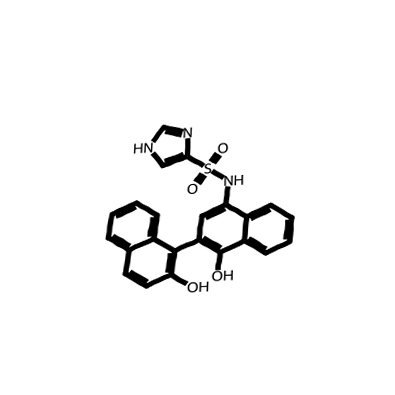 O=S(=O)(Nc1cc(-c2c(O)ccc3ccccc23)c(O)c2ccccc12)c1c[nH]cn1